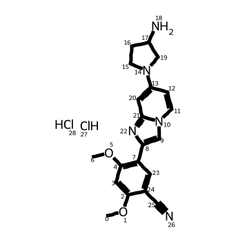 COc1cc(OC)c(-c2cn3ccc(N4CCC(N)C4)cc3n2)cc1C#N.Cl.Cl